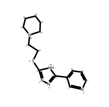 c1cncc(-c2nnc(SCCN3CCCCC3)[nH]2)c1